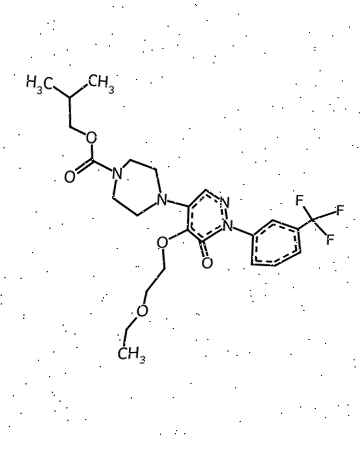 CCOCCOc1c(N2CCN(C(=O)OCC(C)C)CC2)cnn(-c2cccc(C(F)(F)F)c2)c1=O